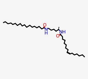 CCCCCC/C=C\CCCCCCCC(=O)N[C@H](C)CCCCNC(=O)CCCCCCCCCCCCCCCCC